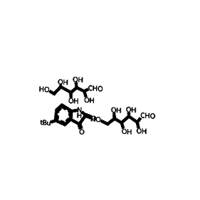 CC(C)(C)c1ccc2c(c1)C(=O)C(=O)N2.O=CC(O)C(O)C(O)C(O)CO.O=CC(O)C(O)C(O)C(O)CO